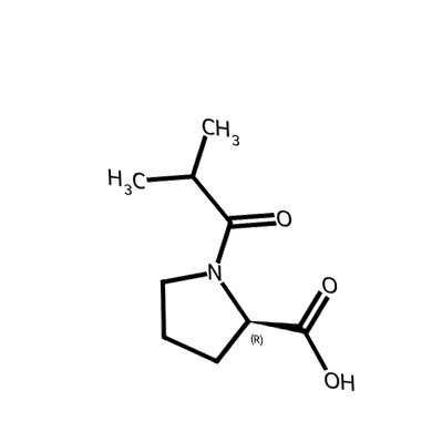 CC(C)C(=O)N1CCC[C@@H]1C(=O)O